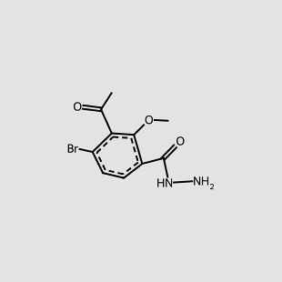 COc1c(C(=O)NN)ccc(Br)c1C(C)=O